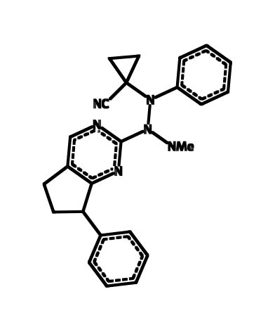 CNN(c1ncc2c(n1)C(c1ccccc1)CC2)N(c1ccccc1)C1(C#N)CC1